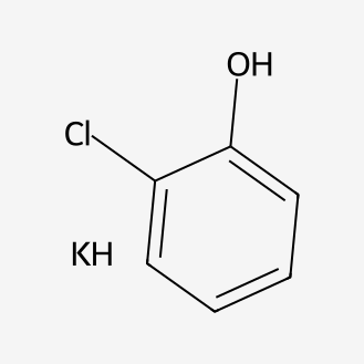 Oc1ccccc1Cl.[KH]